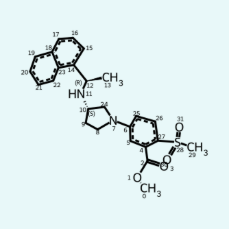 COC(=O)c1cc(N2CC[C@H](N[C@H](C)c3cccc4ccccc34)C2)ccc1S(C)(=O)=O